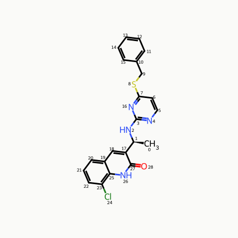 C[C@H](Nc1nccc(SCc2ccccc2)n1)c1cc2cccc(Cl)c2[nH]c1=O